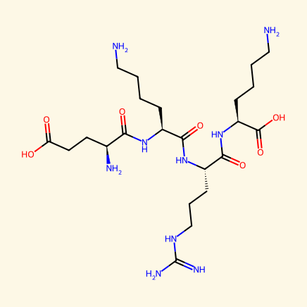 N=C(N)NCCC[C@H](NC(=O)[C@H](CCCCN)NC(=O)[C@@H](N)CCC(=O)O)C(=O)N[C@@H](CCCCN)C(=O)O